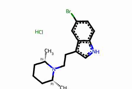 C[C@@H]1CCC[C@H](C)N1CCc1c[nH]c2ccc(Br)cc12.Cl